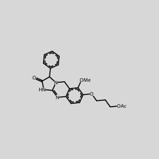 COc1c(OCCCOC(C)=O)ccc2c1CN1C(=N2)NC(=O)C1c1ccccc1